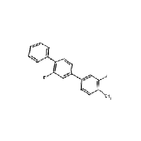 Cc1ccc(-c2ccc(-c3ccccc3)c(F)c2)cc1F